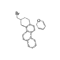 BrCC1CCc2ccc3c(ccc4ccccc43)c2C1.C1=CCOC=C1